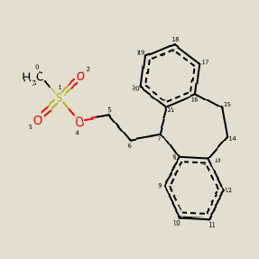 CS(=O)(=O)OCCC1c2ccccc2CCc2ccccc21